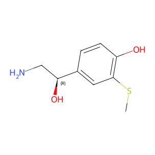 CSc1cc([C@@H](O)CN)ccc1O